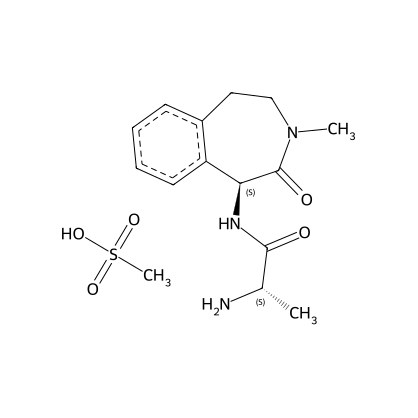 CS(=O)(=O)O.C[C@H](N)C(=O)N[C@@H]1C(=O)N(C)CCc2ccccc21